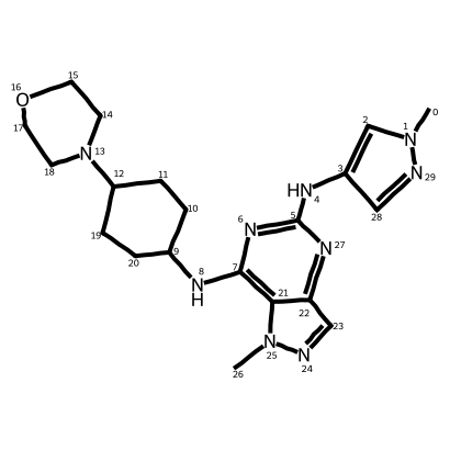 Cn1cc(Nc2nc(NC3CCC(N4CCOCC4)CC3)c3c(cnn3C)n2)cn1